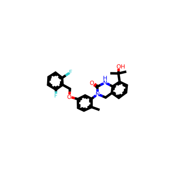 Cc1ccc(OCc2c(F)cccc2F)cc1N1Cc2cccc(C(C)(C)O)c2NC1=O